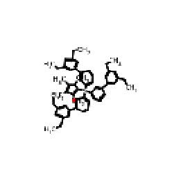 CCc1cc(CC)cc(-c2cccc([Si](C3=C(C)C(C)=C(C)C3C)(c3cccc(-c4cc(CC)cc(CC)c4)c3)c3cccc(-c4cc(CC)cc(CC)c4)c3)c2)c1